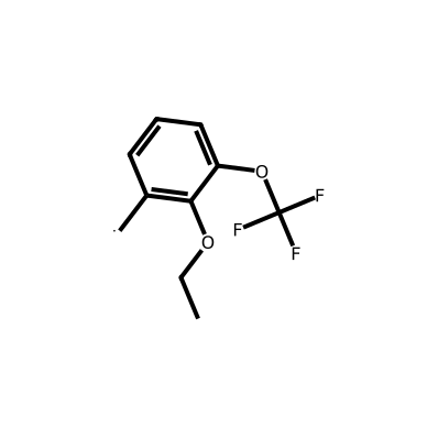 [CH2]c1cccc(OC(F)(F)F)c1OCC